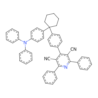 N#Cc1c(-c2ccccc2)nc(-c2ccccc2)c(C#N)c1-c1ccc(C2(c3ccc(N(c4ccccc4)c4ccccc4)cc3)CCCCC2)cc1